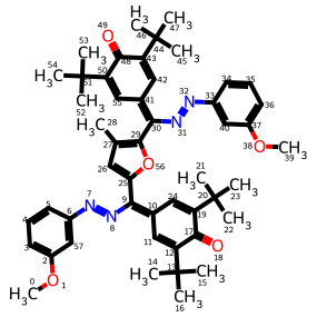 COc1cccc(/N=N/C(=C2C=C(C(C)(C)C)C(=O)C(C(C)(C)C)=C2)c2cc(C)c(C(/N=N/c3cccc(OC)c3)=C3C=C(C(C)(C)C)C(=O)C(C(C)(C)C)=C3)o2)c1